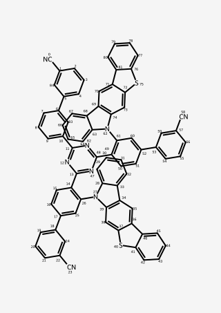 N#Cc1cccc(-c2cccc(-c3nc(-c4ccc(-c5cccc(C#N)c5)cc4-n4c5ccccc5c5cc6c(cc54)sc4ccccc46)nc(-c4ccc(-c5cccc(C#N)c5)cc4-n4c5ccccc5c5cc6c(cc54)sc4ccccc46)n3)c2)c1